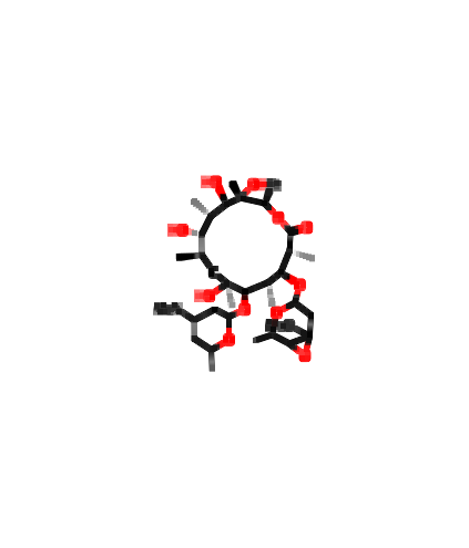 CC[C@H]1OC(=O)[C@H](C)[C@@H](OC2CC3(OC)OC3C(C)O2)[C@H](C)[C@@H](OC2CC(NC)CC(C)O2)[C@@](C)(O)C[C@@H](C)[C@H](O)[C@H](C)[C@@H](O)[C@]1(C)O